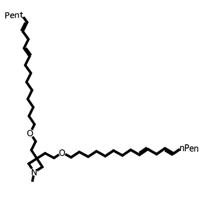 CCCCCC=CCC=CCCCCCCCCOCCC1(CCOCCCCCCCCC=CCC=CCCCCC)CN(C)C1